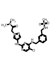 CN(C)C(=O)Cn1cc(Nc2ncc(Cl)c(NCc3cccc(CNS(C)(=O)=O)c3)n2)cn1